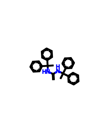 C=C(NC(C)(c1ccccc1)c1ccccc1)NC(C)(c1ccccc1)c1ccccc1